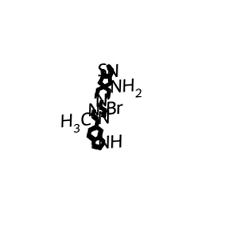 Cc1nc(N2CCC3(CC2)Cc2scnc2[C@H]3N)c(Br)nc1-c1ccc2cc[nH]c2c1